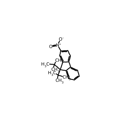 CC(C)(C)C1(C(C)(C)C)c2ccccc2-c2ccc([N+](=O)[O-])cc21